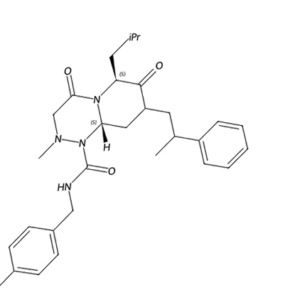 COc1ccc(CNC(=O)N2[C@H]3CC(CC(C)c4ccccc4)C(=O)[C@H](CC(C)C)N3C(=O)CN2C)cc1